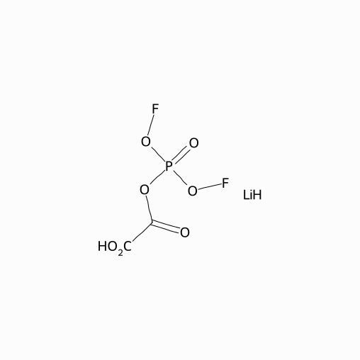 O=C(O)C(=O)OP(=O)(OF)OF.[LiH]